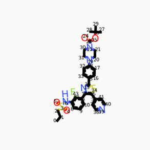 CCCS(=O)(=O)Nc1cccc(-c2nc(-c3ccc(N4CCN(C(=O)OC(C)(C)C)CC4)cc3)sc2-c2ccncc2)c1F